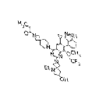 C=CC(=O)N1CC2(CCN(c3nc(N4CC5(CC(O)CN5CC)C4)nc4c(OCC(F)(F)F)c(-c5c(C)ccc6[nH]ncc56)c(C5CC5)cc34)CC2)C1